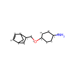 NC1CCC(OCC2CC3C=CC2C3)CC1